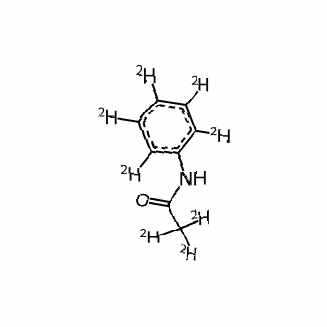 [2H]c1c([2H])c([2H])c(NC(=O)C([2H])([2H])[2H])c([2H])c1[2H]